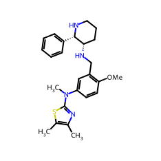 COc1ccc(N(C)c2nc(C)c(C)s2)cc1CN[C@H]1CCCN[C@H]1c1ccccc1